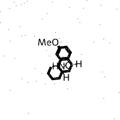 COc1ccc2c(c1)[C@]13CCCC[C@@H]1C[C@H]2CN3